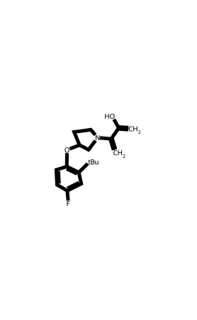 C=C(O)C(=C)N1CCC(Oc2ccc(F)cc2C(C)(C)C)C1